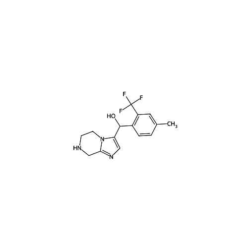 Cc1ccc(C(O)c2cnc3n2CCNC3)c(C(F)(F)F)c1